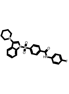 O=C(Nc1ccc(F)cc1)c1ccc(S(=O)(=O)n2cc(N3CCCCC3)c3ccccc32)cc1